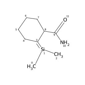 C[Si](C)=C1CCCCC1C(N)=O